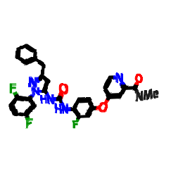 CNC(=O)c1cc(Oc2ccc(NC(=O)Nc3cc(Cc4ccccc4)nn3-c3cc(F)ccc3F)c(F)c2)ccn1